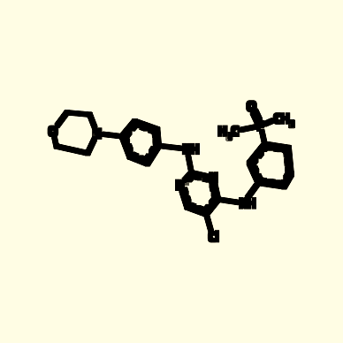 CP(C)(=O)c1cccc(Nc2nc(Nc3ccc(N4CCOCC4)cc3)ncc2Cl)c1